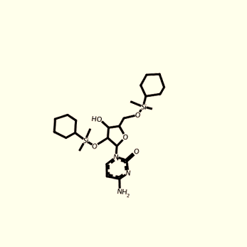 C[Si](C)(OCC1OC(n2ccc(N)nc2=O)C(O[Si](C)(C)C2CCCCC2)C1O)C1CCCCC1